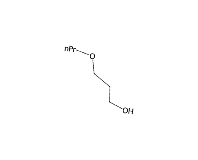 [CH2]CCOCCCO